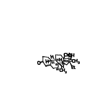 CC[C@@]1(C)C[C@@H]2[C@H]3[C@H](CC[C@]2(C)[C@@H]1O)[C@H]1CCC(=O)C=C1C[C@H]3C